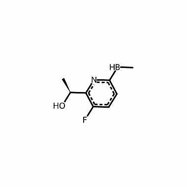 CBc1ccc(F)c([C@H](C)O)n1